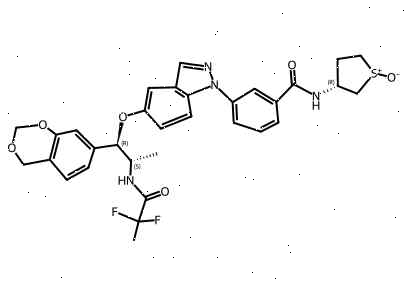 C[C@H](NC(=O)C(C)(F)F)[C@H](Oc1ccc2c(cnn2-c2cccc(C(=O)N[C@@H]3CC[S+]([O-])C3)c2)c1)c1ccc2c(c1)OCOC2